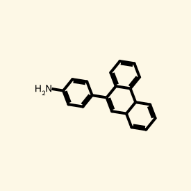 Nc1ccc(C2=CC3C=CC=CC3c3ccccc32)cc1